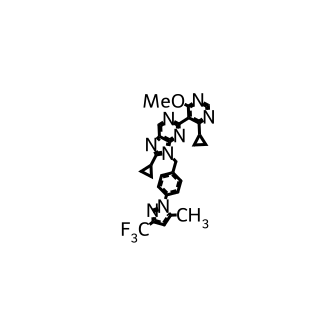 COc1ncnc(C2CC2)c1-c1ncc2nc(C3CC3)n(Cc3ccc(-n4nc(C(F)(F)F)cc4C)cc3)c2n1